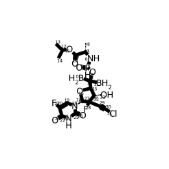 BC(B)(O[PH](=O)N[C@@H](C)C(=O)OC(C)C)C1O[C@@H](n2cc(F)c(=O)[nH]c2=O)C(F)(C#CCl)[C@H]1O